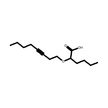 CCCCC#CCCOC(CCCC)C(=O)O